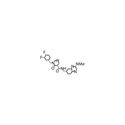 CNc1cnc2ccc(CNC(=O)c3cncn(Cc4ccc(F)c(F)c4)c3=O)cc2n1